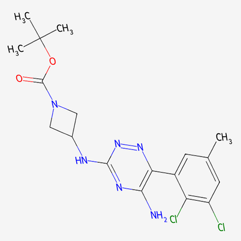 Cc1cc(Cl)c(Cl)c(-c2nnc(NC3CN(C(=O)OC(C)(C)C)C3)nc2N)c1